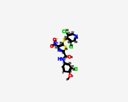 COc1ccc(NC(=O)c2nc([N+](=O)[O-])c(Sc3c(Cl)cncc3Cl)s2)cc1Cl